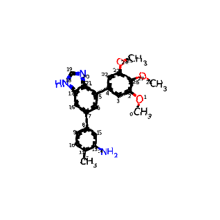 COc1cc(-c2cc(-c3ccc(C)c(N)c3)cc3[nH]cnc23)cc(OC)c1OC